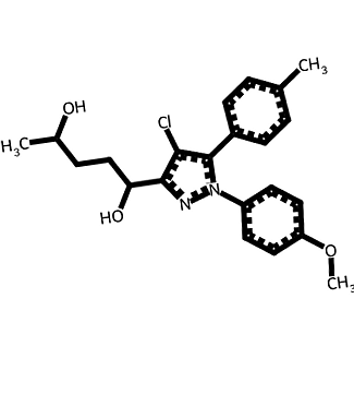 COc1ccc(-n2nc(C(O)CCC(C)O)c(Cl)c2-c2ccc(C)cc2)cc1